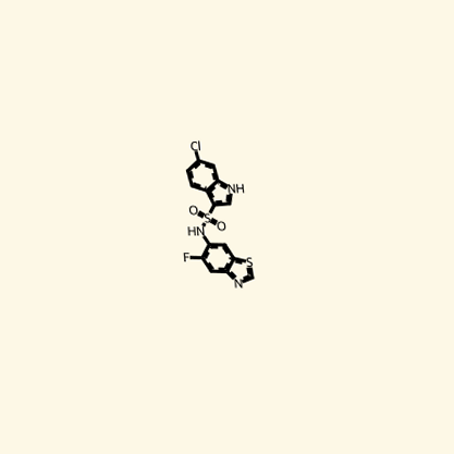 O=S(=O)(Nc1cc2scnc2cc1F)c1c[nH]c2cc(Cl)ccc12